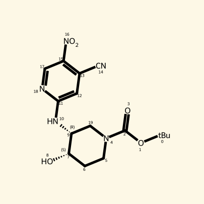 CC(C)(C)OC(=O)N1CC[C@H](O)[C@H](Nc2cc(C#N)c([N+](=O)[O-])cn2)C1